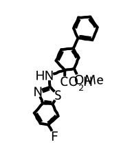 COC1C=C(c2ccccc2)C=CC1(Nc1nc2ccc(F)cc2s1)C(=O)O